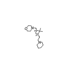 CC1(C)[C@@H](CCN2CCCCC2)C[C@H]1CN1CCOCC1